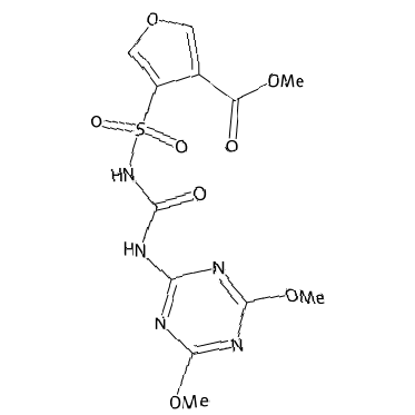 COC(=O)c1cocc1S(=O)(=O)NC(=O)Nc1nc(OC)nc(OC)n1